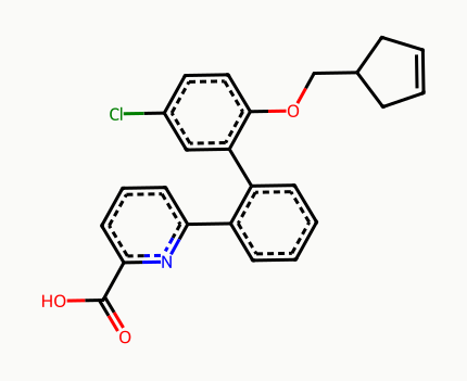 O=C(O)c1cccc(-c2ccccc2-c2cc(Cl)ccc2OCC2CC=CC2)n1